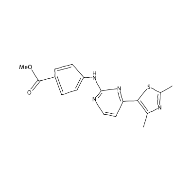 COC(=O)c1ccc(Nc2nccc(-c3sc(C)nc3C)n2)cc1